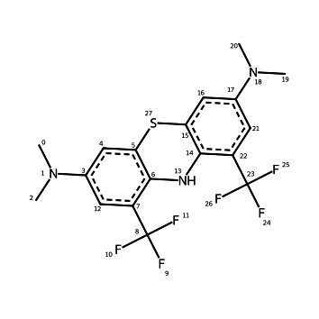 CN(C)c1cc2c(c(C(F)(F)F)c1)Nc1c(cc(N(C)C)cc1C(F)(F)F)S2